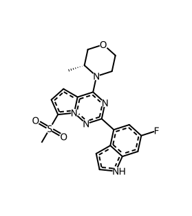 C[C@@H]1COCCN1c1nc(-c2cc(F)cc3[nH]ccc23)nn2c(S(C)(=O)=O)ccc12